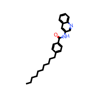 CCCCCCCCCCc1ccc(C(=O)Nc2cnc3ccccc3c2)cc1